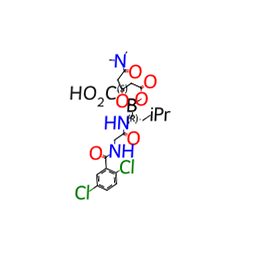 CC(C)C[C@H](NC(=O)CNC(=O)c1cc(Cl)ccc1Cl)B1OC(=O)C[C@@](CC(=O)N(C)C)(C(=O)O)O1